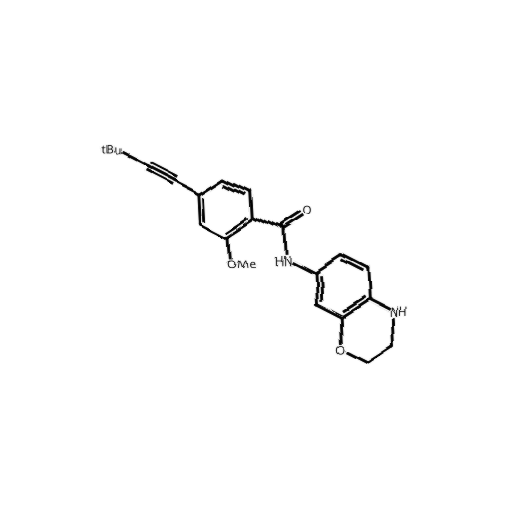 COc1cc(C#CC(C)(C)C)ccc1C(=O)Nc1ccc2c(c1)OCCN2